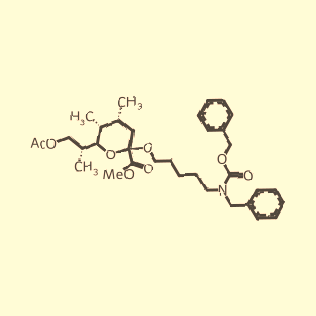 COC(=O)[C@@]1(OCCCCCN(Cc2ccccc2)C(=O)OCc2ccccc2)C[C@@H](C)[C@@H](C)C([C@H](C)COC(C)=O)O1